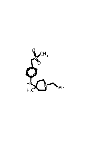 C[C](C)CN1CCC(C)(Nc2ccc(CS(C)(=O)=O)cc2)CC1